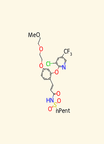 CCCCCS(=O)(=O)NC(=O)/C=C/c1ccc(OCCOCCOC)cc1Oc1ncc(C(F)(F)F)cc1Cl